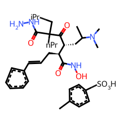 CCCC(CC(C)C)(C(=O)NN)C(=O)[C@H](CC(C)N(C)C)[C@H](C/C=C/c1ccccc1)C(=O)NO.Cc1ccc(S(=O)(=O)O)cc1